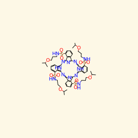 CC(C)OCCCNS(=O)(=O)c1cccc2c1-c1nc-2nc2[nH]c(nc3nc(nc4[nH]c(n1)c1cccc(S(=O)(=O)NCCCOC(C)C)c41)-c1cccc(S(=O)(=O)NCCCOC(C)C)c1-3)c1cccc(S(=O)(=O)NCCCOC(C)C)c21